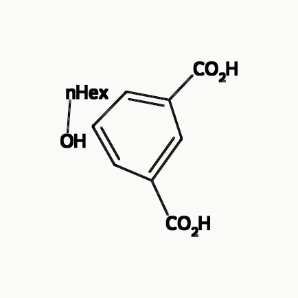 CCCCCCO.O=C(O)c1cccc(C(=O)O)c1